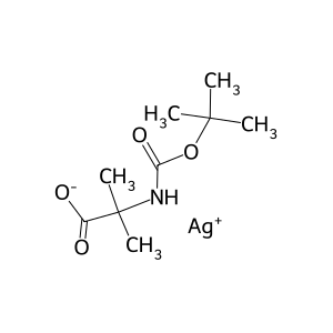 CC(C)(C)OC(=O)NC(C)(C)C(=O)[O-].[Ag+]